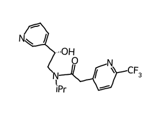 CC(C)N(C[C@@H](O)c1cccnc1)C(=O)Cc1ccc(C(F)(F)F)nc1